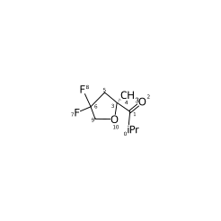 CC(C)C(=O)[C@]1(C)CC(F)(F)CO1